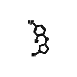 CC(C)N1CCC(Oc2ccc(C(F)(F)F)cc2Br)C1